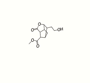 COC(=O)C1C2CC3C(OC(=O)C31)C2CCO